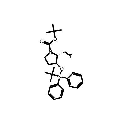 CC(C)(C)OC(=O)N1CC[C@H](O[Si](c2ccccc2)(c2ccccc2)C(C)(C)C)[C@H]1CF